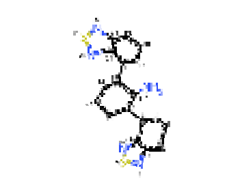 Nc1c(-c2cccc3nsnc23)cccc1-c1cccc2nsnc12